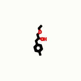 CCOCC(O)Cc1ccc(C)cc1